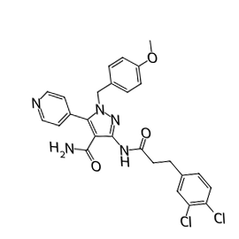 COc1ccc(Cn2nc(NC(=O)CCc3ccc(Cl)c(Cl)c3)c(C(N)=O)c2-c2ccncc2)cc1